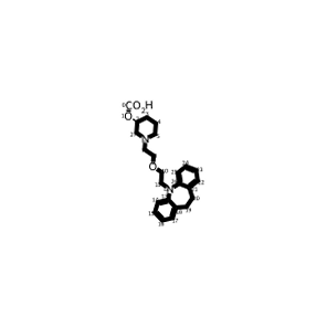 O=C(O)O[C@@H]1CCCN(CCOCCN2c3ccccc3CCc3ccccc32)C1